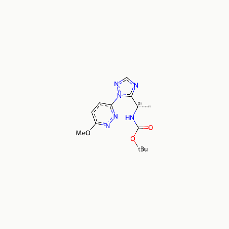 COc1ccc(-n2ncnc2[C@H](C)NC(=O)OC(C)(C)C)nn1